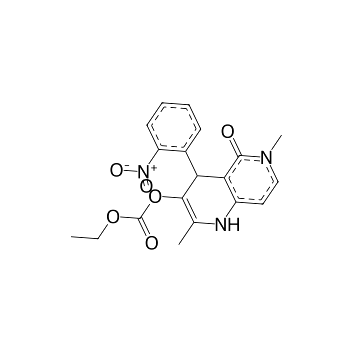 CCOC(=O)OC1=C(C)Nc2ccn(C)c(=O)c2C1c1ccccc1[N+](=O)[O-]